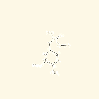 COc1cc(CP(=O)(O)OC(C)C)ccc1N